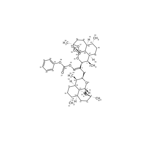 C[C@H]1[C@@H](/C(C[C@H]2O[C@@H]3O[C@]4(C)CC[C@H]5[C@H](C)CC[C@@H]([C@H]2C)[C@@]35OO4)=N\OC(=O)Oc2ccccc2)O[C@@H]2O[C@]3(C)CC[C@H]4[C@H](C)CC[C@@H]1[C@@]24OO3